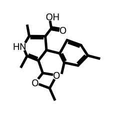 CC1=C(C(=O)O)C(c2ccc(C)cc2C)C(C2OC(C)O2)=C(C)N1